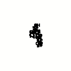 N#CC1CCCCC1Nc1cc(C(=O)Nc2ccc(OC(F)(F)Cl)cc2)cnc1N1CCC(O)C1